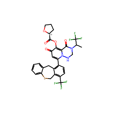 CC(N1CNn2c(-c3ccc(C(F)(F)F)c4c3Cc3ccccc3SC4)cc(=O)c(OC(=O)[C@@H]3CCCO3)c2C1=O)C(F)(F)F